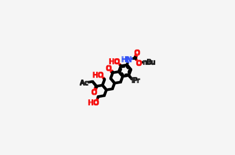 CCCCOC(=O)Nc1cc(C(C)C)c2c(c1O)C(=O)CC(CC(CCO)C(CO)C(=O)CC(C)=O)C2